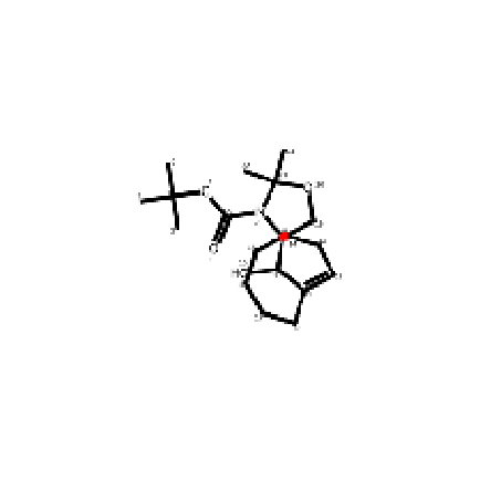 CC(C)(C)OC(=O)N1[C@H](C(O)/C2=C\CCCCCC2)COC1(C)C